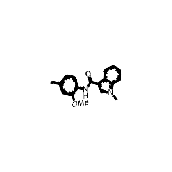 COc1cc(C)ccc1NC(=O)c1cn(C)c2ccccc12